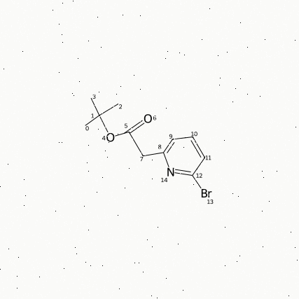 CC(C)(C)OC(=O)Cc1cccc(Br)n1